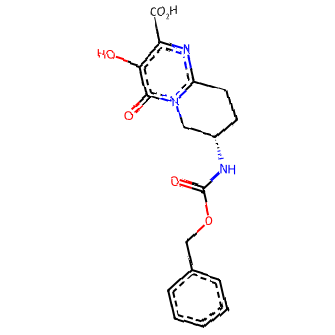 O=C(N[C@H]1CCc2nc(C(=O)O)c(O)c(=O)n2C1)OCc1ccccc1